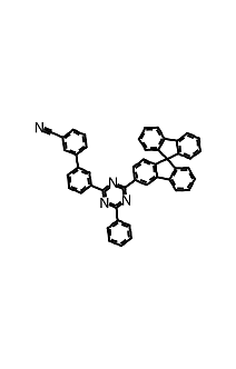 N#Cc1cccc(-c2cccc(-c3nc(-c4ccccc4)nc(-c4ccc5c(c4)-c4ccccc4C54c5ccccc5-c5ccccc54)n3)c2)c1